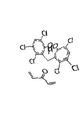 C=CC(=O)C=C.Oc1c(Cl)cc(Cl)c(Cl)c1Cc1c(O)c(Cl)cc(Cl)c1Cl